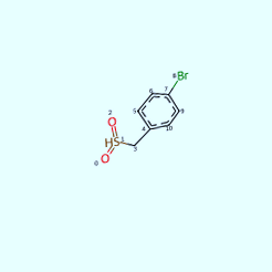 O=[SH](=O)Cc1ccc(Br)cc1